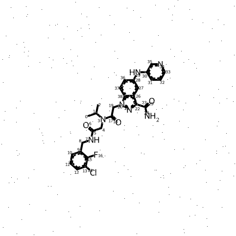 CC(C)N(CC(=O)NCc1cccc(Cl)c1F)C(=O)Cn1nc(C(N)=O)c2cc(Nc3cccnc3)ccc21